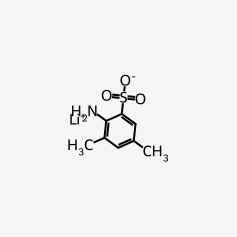 Cc1cc(C)c(N)c(S(=O)(=O)[O-])c1.[Li+]